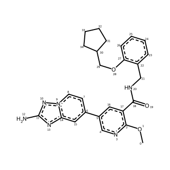 COc1ncc(-c2ccn3nc(N)nc3c2)cc1C(=O)NCc1ccccc1OCC1CCCC1